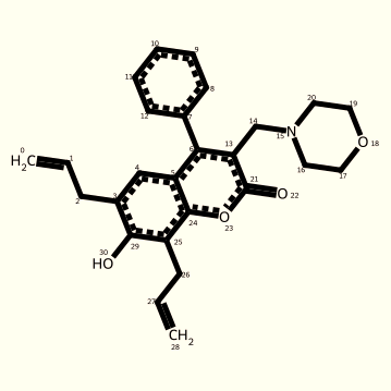 C=CCc1cc2c(-c3ccccc3)c(CN3CCOCC3)c(=O)oc2c(CC=C)c1O